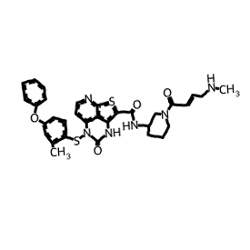 CNC/C=C/C(=O)N1CCCC(NC(=O)c2sc3nccc4c3c2NC(=O)N4Sc2ccc(Oc3ccccc3)cc2C)C1